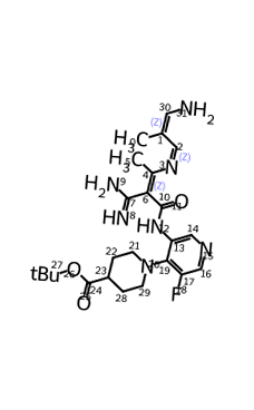 CC(/C=N\C(C)=C(\C(=N)N)C(=O)Nc1cncc(F)c1N1CCC(C(=O)OC(C)(C)C)CC1)=C/N